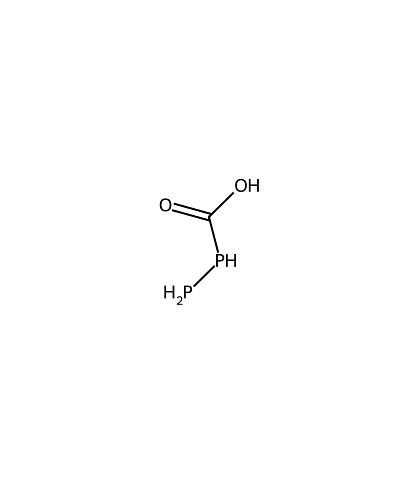 O=C(O)PP